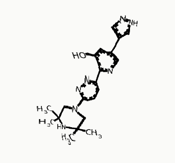 CC1(C)CN(c2ccc(-c3ncc(-c4cn[nH]c4)cc3O)nn2)CC(C)(C)N1